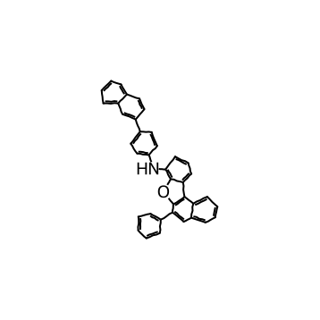 c1ccc(-c2cc3ccccc3c3c2oc2c(Nc4ccc(-c5ccc6ccccc6c5)cc4)cccc23)cc1